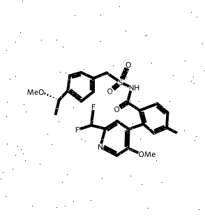 COc1cnc(C(F)F)cc1-c1cc(C)ccc1C(=O)NS(=O)(=O)Cc1ccc([C@H](C)OC)cc1